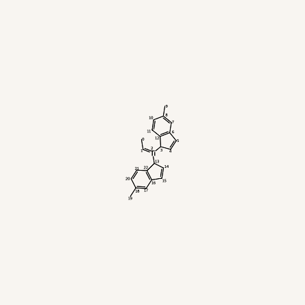 C[CH]=[Ti]([CH]1C=Cc2cc(C)ccc21)[CH]1C=Cc2cc(C)ccc21